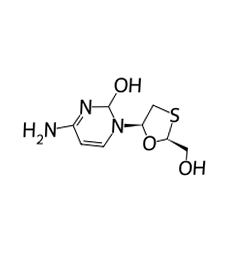 NC1=NC(O)N([C@H]2CS[C@@H](CO)O2)C=C1